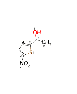 [CH2]C(O)c1ccc([N+](=O)[O-])s1